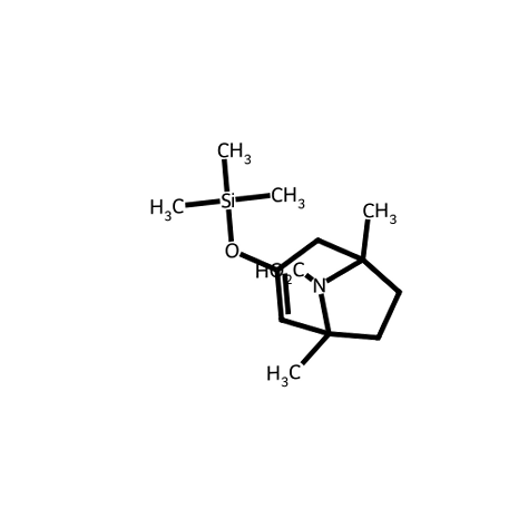 CC12C=C(O[Si](C)(C)C)CC(C)(CC1)N2C(=O)O